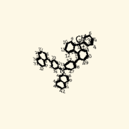 CC1(c2ccccc2)c2ccccc2-c2c(-c3ccc(N(c4ccc(-c5cccc6ccccc56)cc4)c4ccc5ccccc5c4)cc3)cccc21